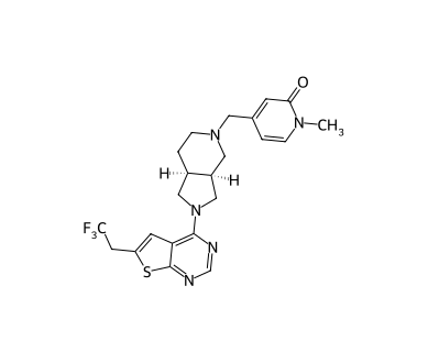 Cn1ccc(CN2CC[C@@H]3CN(c4ncnc5sc(CC(F)(F)F)cc45)C[C@@H]3C2)cc1=O